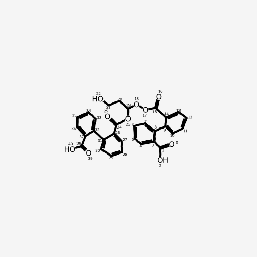 O=C(O)c1ccccc1-c1ccccc1C(=O)OOC(CCO)OC(=O)c1ccccc1-c1ccccc1C(=O)O